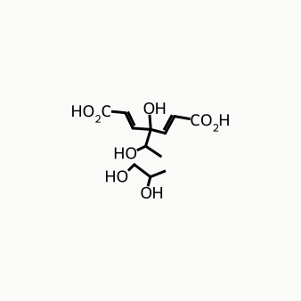 CC(O)C(O)(C=CC(=O)O)C=CC(=O)O.CC(O)CO